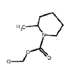 CC1CCCCN1C(=O)OCCl